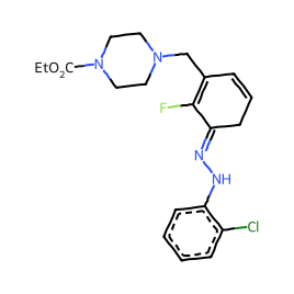 CCOC(=O)N1CCN(CC2=C(F)C(=NNc3ccccc3Cl)CC=C2)CC1